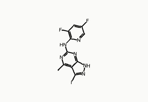 Cc1nc(Nc2ncc(F)cc2F)nc2[nH]nc(I)c12